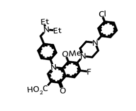 CCN(CC)Cc1ccc(-n2cc(C(=O)O)c(=O)c3cc(F)c(N4CCN(c5cccc(Cl)c5)CC4)c(OC)c32)cc1